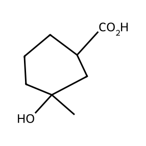 CC1(O)CCCC(C(=O)O)C1